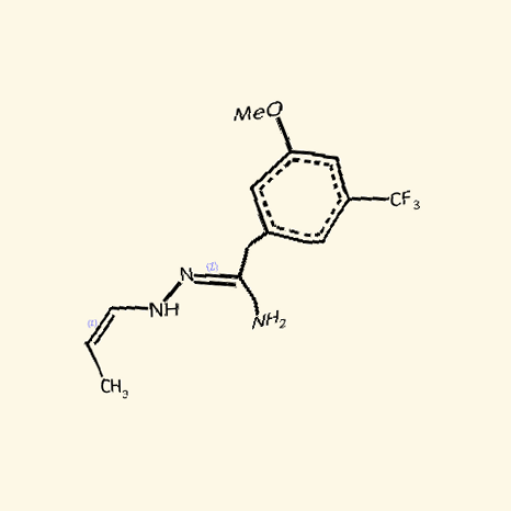 C/C=C\N/N=C(\N)c1cc(OC)cc(C(F)(F)F)c1